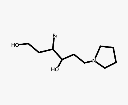 OCCC(Br)C(O)CCN1CCCC1